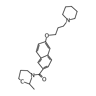 CC1CCCCN1C(=O)c1ccc2cc(OCCCN3CCCCC3)ccc2c1